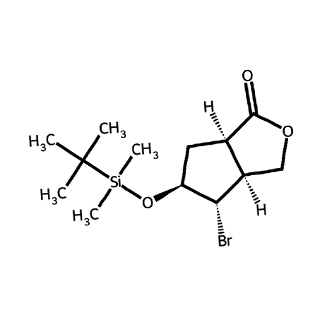 CC(C)(C)[Si](C)(C)O[C@H]1C[C@H]2C(=O)OC[C@H]2[C@@H]1Br